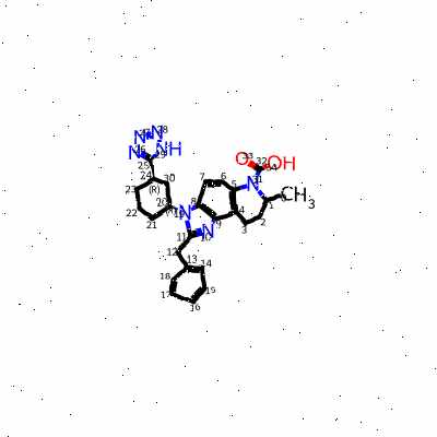 CC1CCc2c(ccc3c2nc(Cc2ccccc2)n3[C@@H]2CCC[C@@H](c3nnn[nH]3)C2)N1C(=O)O